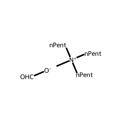 CCCCC[N+](C)(CCCCC)CCCCC.O=C[O-]